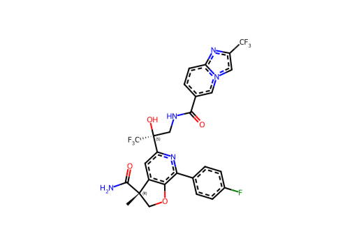 C[C@]1(C(N)=O)COc2c1cc([C@@](O)(CNC(=O)c1ccc3nc(C(F)(F)F)cn3c1)C(F)(F)F)nc2-c1ccc(F)cc1